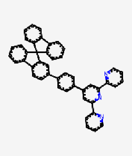 c1ccc(-c2cc(-c3ccc(-c4ccc5c(c4)C4(c6ccccc6-c6ccccc64)c4ccccc4-5)cc3)cc(-c3ccccn3)n2)nc1